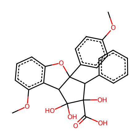 COc1ccc(C23Oc4cccc(OC)c4C2C(O)(O)C(O)(C(=O)O)C3c2ccccc2)cc1